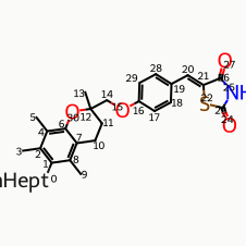 CCCCCCCc1c(C)c(C)c2c(c1C)CCC(C)(COc1ccc(/C=C3\SC(=O)NC3=O)cc1)O2